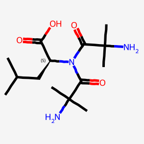 CC(C)C[C@@H](C(=O)O)N(C(=O)C(C)(C)N)C(=O)C(C)(C)N